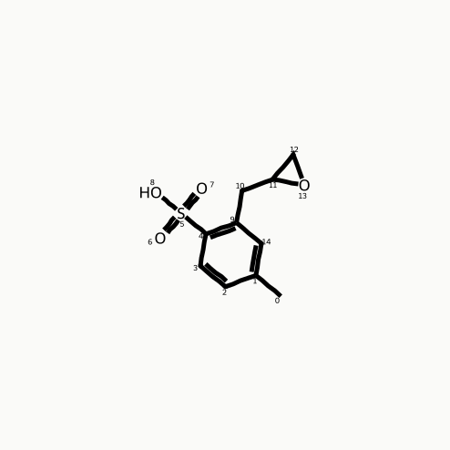 Cc1ccc(S(=O)(=O)O)c(CC2CO2)c1